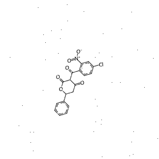 O=C1CC(c2ccccc2)OC(=O)C1C(=O)c1ccc(Cl)cc1[N+](=O)[O-]